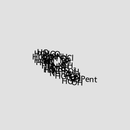 CCCC(C)C1OCC2OC(OC3C(CO)OC(Oc4ccc(CC5NC(=O)C(C(C)c6ccc(Cl)cc6)NC(=O)CNC(=O)C(CO)NC(=O)C(C(O)C6CNC(=N)N6C6OC(CO)C(O)C(O)C6O)NC(=O)C(C(O)C6CNC(=N)N6)NC5=O)cc4)C(O)C3O)C(O)C(O)C2O1